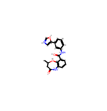 CC1CC(=O)Nc2cccc(C(=O)Nc3cccc(-c4cnco4)c3)c2O1